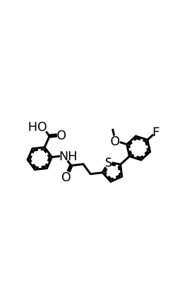 COc1cc(F)ccc1-c1ccc(CCC(=O)Nc2ccccc2C(=O)O)s1